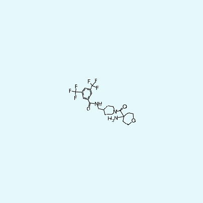 NC1(C(=O)N2CCC(CNC(=O)c3cc(C(F)(F)F)cc(C(F)(F)F)c3)CC2)CCOCC1